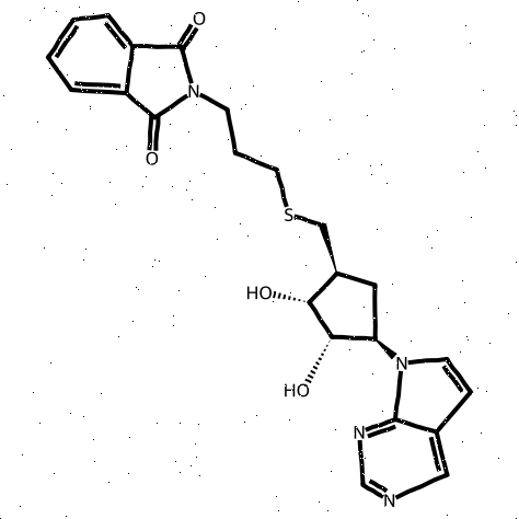 O=C1c2ccccc2C(=O)N1CCCSC[C@H]1C[C@@H](n2ccc3cncnc32)[C@H](O)[C@@H]1O